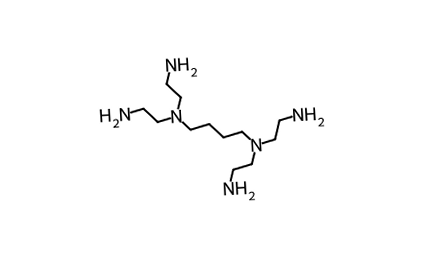 NCCN(CCN)CCCCN(CCN)CCN